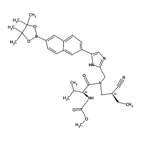 CC[C@H](C#N)CN(Cc1ncc(-c2ccc3cc(B4OC(C)(C)C(C)(C)O4)ccc3c2)[nH]1)C(=O)[C@@H](NC(=O)OC)C(C)C